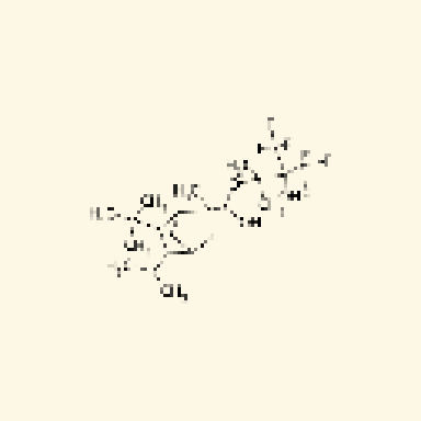 CC(C)C1C2CC(C1C(C)(C)C)C(C)(C(O)OC(C)(C)C(O)(C(F)(F)F)C(F)(F)F)C2